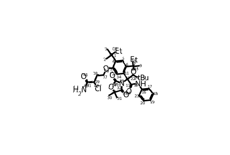 CCC(C)(C)c1cc(C(C)(C)CC)c(C(C(=O)Nc2ccccc2)(C(=O)C(C)(C)C)N2C(=O)OC(C)(C)C2=O)cc1OCCC(Cl)C(N)=O